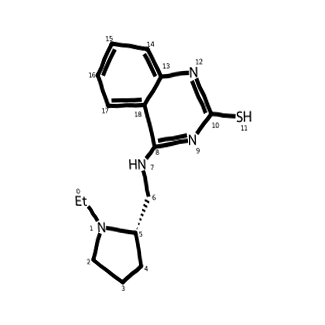 CCN1CCC[C@H]1CNc1nc(S)nc2ccccc12